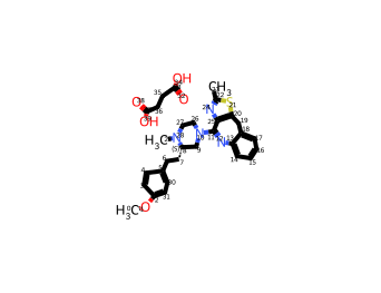 COc1ccc(CC[C@H]2CN(C3=Nc4ccccc4Cc4sc(C)nc43)CCN2C)cc1.O=C(O)CCC(=O)O